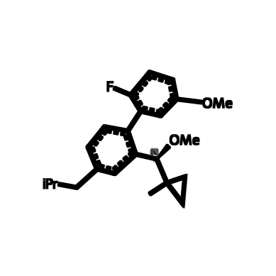 COc1ccc(F)c(-c2ccc(CC(C)C)cc2[C@@H](OC)C2(C)CC2)c1